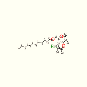 C=CCCCCCCCCCCOCCOC(=C)C(C)COC(=C)C(C)(C)Br